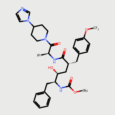 CC(C)[C@H](NC(=O)[C@H](Cc1ccc(OC(F)(F)F)cc1)C[C@H](O)[C@H](Cc1ccccc1)NC(=O)OC(C)(C)C)C(=O)N1CCC(n2ccnc2)CC1